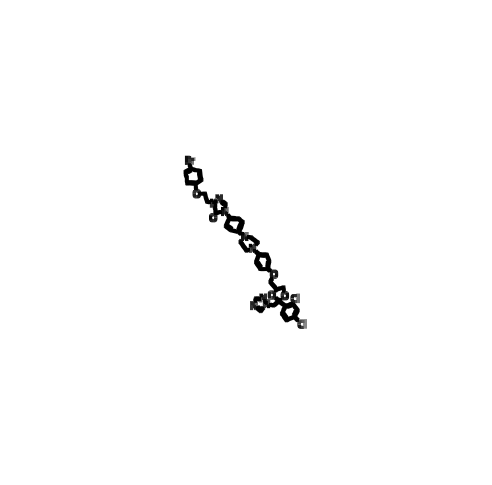 O=c1n(-c2ccc(N3CCN(c4ccc(OCC5COC(Cn6cncn6)(c6ccc(Cl)cc6Cl)O5)cc4)CC3)cc2)cnn1CCOc1ccc(Br)cc1